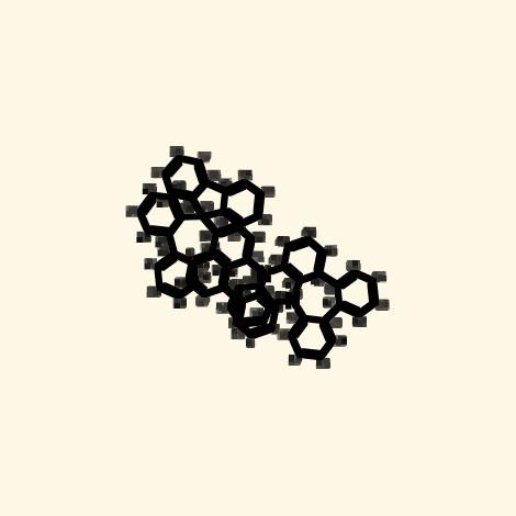 c1ccc(-c2ccccc2N(c2ccc3c(c2)-c2ccccc2-c2ccccc2C32c3ccccc3-c3ccccc32)c2cccc3c2N(c2ccccc2)c2ccccc2-c2ccccc2-3)cc1